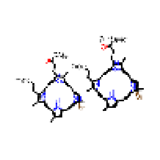 COC(=O)CCc1c(C)c2[nH]c1=CC1=NC(=Cc3[nH]c(cc3C)C=C3NC(=CC3(C)Br)C=2)C(C)=C1CCC(=O)[O-].COC(=O)CCc1c(C)c2[nH]c1=CC1=NC(=Cc3[nH]c(cc3C)C=C3NC(=CC3(C)Br)C=2)C(C)=C1CCC(=O)[O-].[Zn+2]